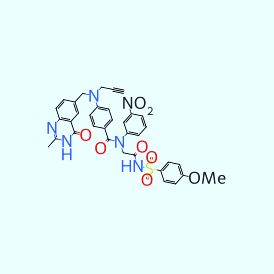 C#CCN(Cc1ccc2nc(C)[nH]c(=O)c2c1)c1ccc(C(=O)N(CC(=O)NS(=O)(=O)c2ccc(OC)cc2)c2cccc([N+](=O)[O-])c2)cc1